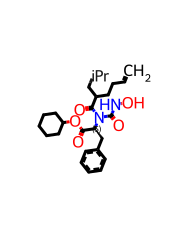 C=CCCC(CC(C)C)C(=O)N(C(=O)NO)[C@@H](Cc1ccccc1)C(=O)OC1CCCCC1